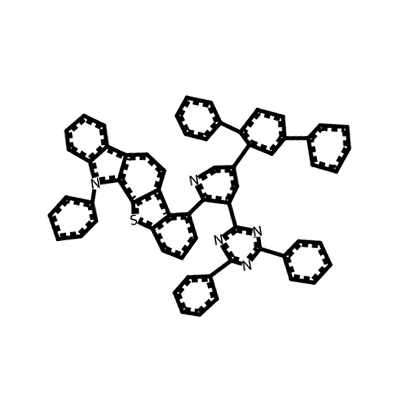 c1ccc(-c2ccc(-c3ccccc3)c(-c3cnc(-c4cccc5sc6c(ccc7c8ccccc8n(-c8ccccc8)c76)c45)c(-c4nc(-c5ccccc5)nc(-c5ccccc5)n4)c3)c2)cc1